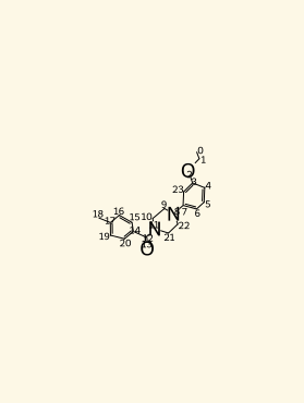 CCOc1cccc(N2CCN(C(=O)c3ccc(C)cc3)CC2)c1